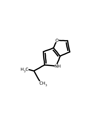 CC(C)c1cc2occc2[nH]1